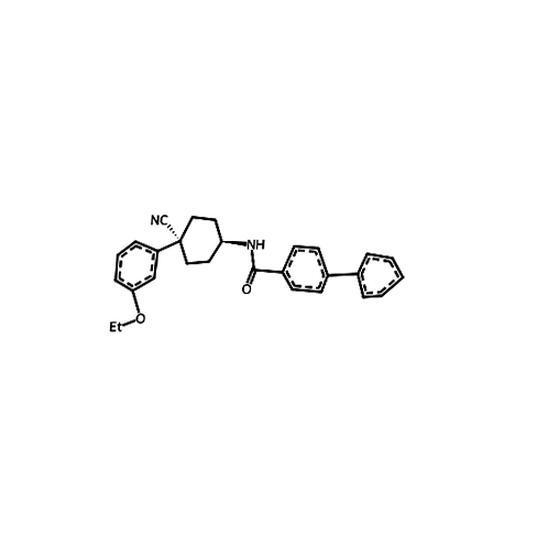 CCOc1cccc([C@]2(C#N)CC[C@H](NC(=O)c3ccc(-c4ccccc4)cc3)CC2)c1